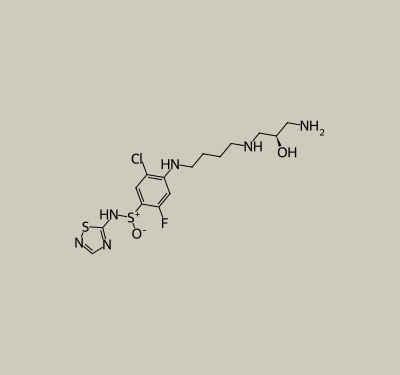 NC[C@@H](O)CNCCCCNc1cc(F)c([S+]([O-])Nc2ncns2)cc1Cl